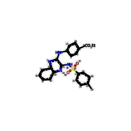 CCOC(=O)c1ccc(Nc2nc3ccccc3nc2NS(=O)(=O)c2ccc(C)cc2)cc1